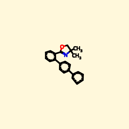 CC1(C)COC(c2ccccc2-c2ccc(-c3ccccc3)cc2)=N1